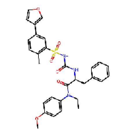 CCN(C(=O)[C@H](Cc1ccccc1)NC(=O)NS(=O)(=O)c1cc(-c2ccoc2)ccc1C)c1ccc(OC)cc1